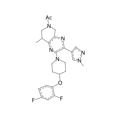 CC(=O)N1Cc2nc(-c3cnn(C)c3)c(N3CCC(Oc4ccc(F)cc4F)CC3)nc2C(C)C1